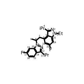 CCn1nc(C(C)C)c2c(CC(C)n3nc(C(C)C)c4ccc(F)cc43)cc(F)cc21